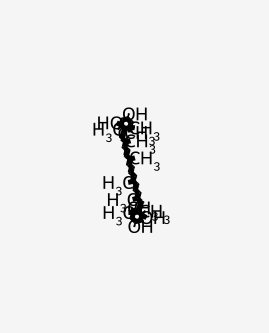 C\C(C=C=C1C(C)(C)C[C@H](O)C[C@@]1(C)O)=C/C=C/C(C)=C/C=C/C=C(C)/C=C/C=C(\C)C=C=C1C(C)(C)C[C@H](O)C[C@@]1(C)O